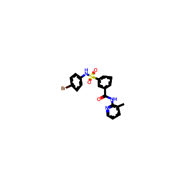 Cc1cccnc1NC(=O)c1cccc(S(=O)(=O)Nc2ccc(Br)cc2)c1